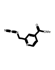 COC(=O)c1ccnc(CN=[N+]=[N-])c1